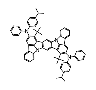 CC(C)c1ccc(N(c2ccccc2)c2cc3c4ccccc4n4c5cc6c7c(C(C)(C)C)c(N(c8ccccc8)c8ccc(C(C)C)cc8)cc8c9ccccc9n(c6cc5c(c2C(C)(C)C)c34)c87)cc1